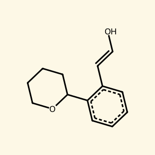 OC=Cc1ccccc1C1CCCCO1